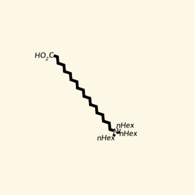 CCCCCC[N+](CCCCCC)(CCCCCC)CCCCCCCCCCCCCCCCCCC(=O)O